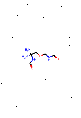 NC(N)(COCNC=O)NC=O